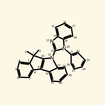 CC1(C)c2ccccc2-c2c1n(-c1nc3ccccc3n1-c1ccccc1)c1ccccc21